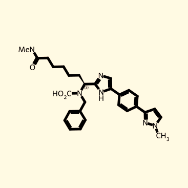 CNC(=O)CCCCC[C@@H](c1ncc(-c2ccc(-c3ccn(C)n3)cc2)[nH]1)N(Cc1ccccc1)C(=O)O